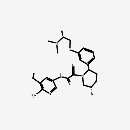 CCc1cc(NC(=O)C(=O)N2C[C@@H](C)CC[C@@H]2c2cccc(OC[C@H](C)N(C)C)c2)cnc1N